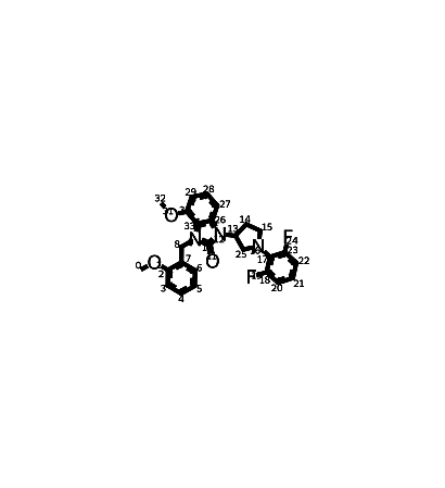 COc1ccccc1Cn1c(=O)n(C2CCN(c3c(F)cccc3F)C2)c2cccc(OC)c21